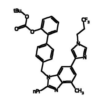 CCCc1nc2c(C)cc(-c3cn(CCC(F)(F)F)cn3)cc2n1Cc1ccc(-c2ccccc2OC(=O)OC(C)(C)C)cc1